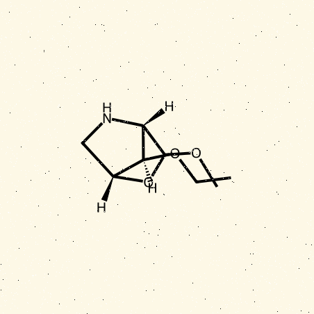 CCO[C@@H]1[C@@H]2NC[C@H]1OC2OC